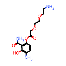 NCCOCCOCC(=O)Oc1ccc(N)c(O)c1C(N)=O